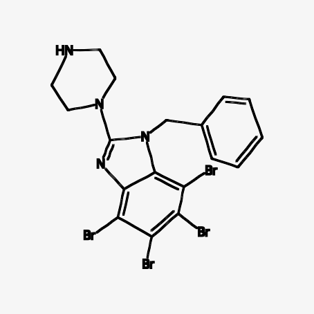 Brc1c(Br)c(Br)c2c(nc(N3CCNCC3)n2Cc2ccccc2)c1Br